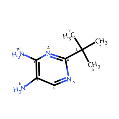 CC(C)(C)c1ncc(N)c(N)n1